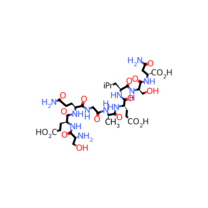 CC(C)C[C@H](NC(=O)[C@H](CCC(=O)O)NC(=O)[C@H](C)NC(=O)CNC(=O)[C@H](CCC(N)=O)NC(=O)[C@H](CCC(=O)O)NC(=O)[C@H](N)CO)C(=O)N[C@H](CO)C(=O)N[C@H](CC(N)=O)C(=O)O